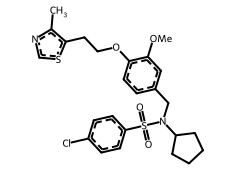 COc1cc(CN(C2CCCC2)S(=O)(=O)c2ccc(Cl)cc2)ccc1OCCc1scnc1C